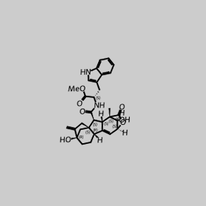 C=C1C[C@]23C[C@]1(O)CC[C@H]2C1=C[C@@H]2OC(=O)[C@@](C)([C@H]1[C@@H]3C(=O)N[C@@H](Cc1c[nH]c3ccccc13)C(=O)OC)[C@H]2O